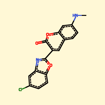 CNc1ccc2cc(-c3nc4cc(Cl)ccc4o3)c(=O)oc2c1